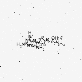 CCCN(CCC)CC(O)COc1ccc(-c2nc3c(N)nc(N)nc3nc2N)cc1